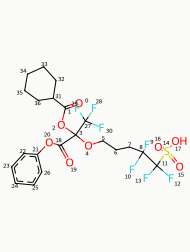 O=C(OC(OCCCC(F)(F)C(F)(F)S(=O)(=O)O)(C(=O)Oc1ccccc1)C(F)(F)F)C1CCCCC1